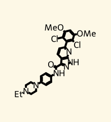 CCN1CCN(c2ccc(NC(=O)c3n[nH]c4nc(-c5c(Cl)c(OC)cc(OC)c5Cl)ccc34)cc2)CC1